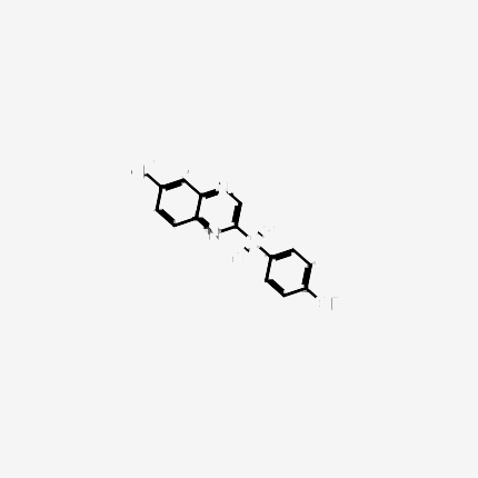 O=S(=O)(c1ccc(C(F)(F)F)cc1)c1cnc2cc(Cl)ccc2n1